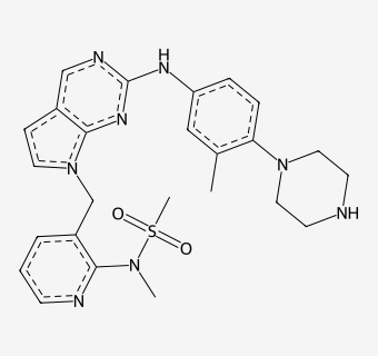 Cc1cc(Nc2ncc3ccn(Cc4cccnc4N(C)S(C)(=O)=O)c3n2)ccc1N1CCNCC1